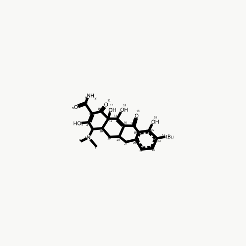 CN(C)C1C(O)=C(C(N)=O)C(=O)C2(O)C(O)=C3C(=O)c4c(ccc(C(C)(C)C)c4O)CC3CC12